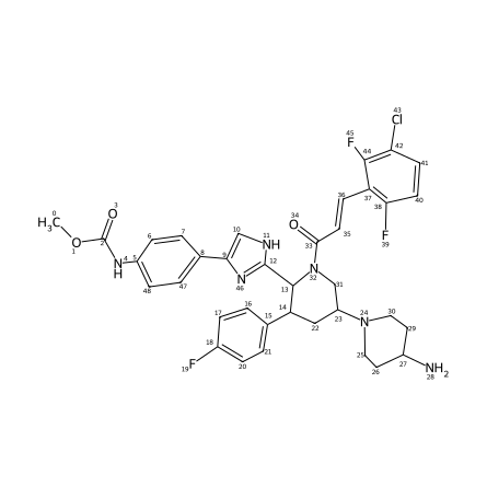 COC(=O)Nc1ccc(-c2c[nH]c(C3C(c4ccc(F)cc4)CC(N4CCC(N)CC4)CN3C(=O)/C=C/c3c(F)ccc(Cl)c3F)n2)cc1